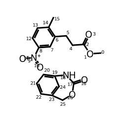 COC(=O)CCc1cc([N+](=O)[O-])ccc1C.O=C1Nc2cccc(c2)CO1